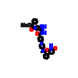 CO[C@@H](C(=O)N1Cc2[nH]nc(NC(=O)c3ccc(N4CCC(N(C)Cc5ccccc5C5CCC(=O)NC5=O)CC4)cc3)c2C1)c1ccccc1